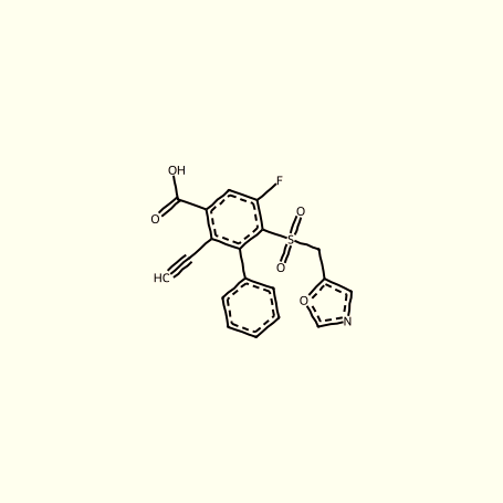 C#Cc1c(C(=O)O)cc(F)c(S(=O)(=O)Cc2cnco2)c1-c1ccccc1